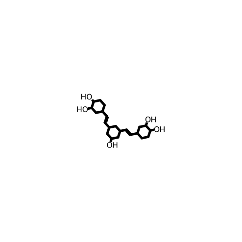 OC1CC(/C=C/C2CCC(O)C(O)C2)CC(/C=C/C2CCC(O)C(O)C2)C1